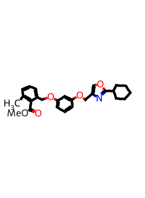 COC(=O)c1c(C)cccc1COc1cccc(OCc2coc(C3CCCCC3)n2)c1